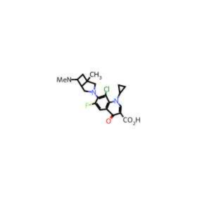 CNC1CC2(C)CN(c3c(F)cc4c(=O)c(C(=O)O)cn(C5CC5)c4c3Cl)CC12